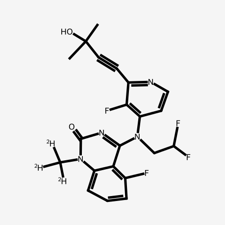 [2H]C([2H])([2H])n1c(=O)nc(N(CC(F)F)c2ccnc(C#CC(C)(C)O)c2F)c2c(F)cccc21